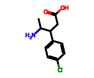 CC(N)C(CC(=O)O)c1ccc(Cl)cc1